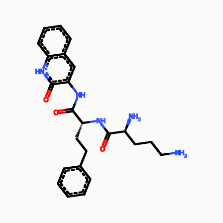 NCCC[C@H](N)C(=O)N[C@H](CCc1ccccc1)C(=O)Nc1cc2ccccc2[nH]c1=O